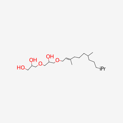 C/C(=C\COCC(O)COCC(O)CO)CCCC(C)CCCC(C)C